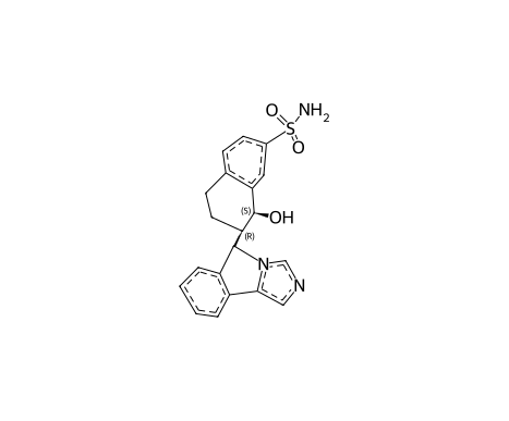 NS(=O)(=O)c1ccc2c(c1)[C@@H](O)[C@@H](C1c3ccccc3-c3cncn31)CC2